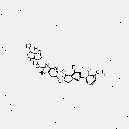 Cn1cccc(-c2cc(F)c3c(c2)CCC3Oc2nc3nc(O[C@@H]4CO[C@H]5[C@@H]4OC[C@H]5O)[nH]c3cc2Cl)c1=O